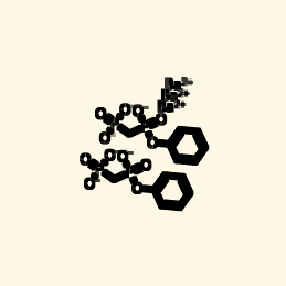 O=P([O-])([O-])CP(=O)([O-])Oc1ccccc1.O=P([O-])([O-])CP(=O)([O-])Oc1ccccc1.[Ba+2].[Ba+2].[Ba+2]